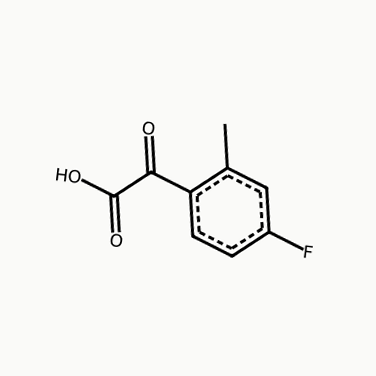 Cc1cc(F)ccc1C(=O)C(=O)O